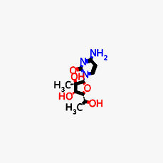 CC(O)[C@H]1O[C@@H](n2ccc(N)nc2=O)[C@](C)(O)[C@@H]1O